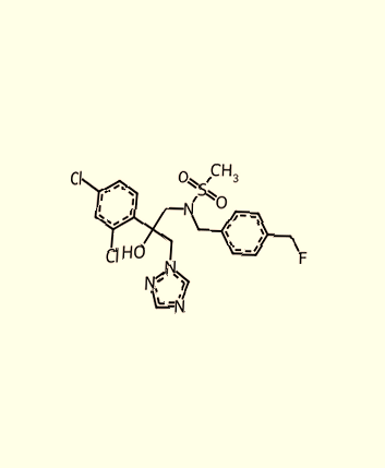 CS(=O)(=O)N(Cc1ccc(CF)cc1)CC(O)(Cn1cncn1)c1ccc(Cl)cc1Cl